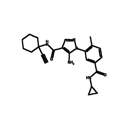 C#CC1(NC(=O)c2cnn(-c3cc(C(=O)NC4CC4)ccc3C)c2N)CCCCC1